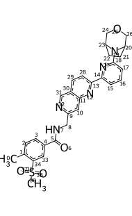 Cc1ccc(C(=O)NCc2cc3nc(-c4cccc(N5C6CCC5COC6)n4)ccc3cn2)cc1S(C)(=O)=O